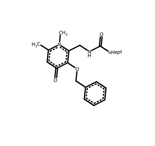 CCCCCCCC(=O)NCc1c(OCc2ccccc2)c(=O)cc(C)n1C